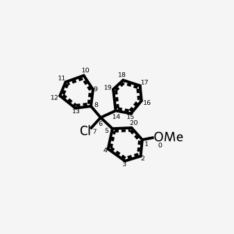 COc1cccc(C(Cl)(c2ccccc2)c2ccccc2)c1